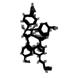 CCOc1cc(C(C)(C)C)ncc1C1=N[C@@](C)(c2ccc(Cl)cc2)[C@@](C)(c2ccc(Cl)cc2)N1C(=O)N1CCN(CCOC)CC1